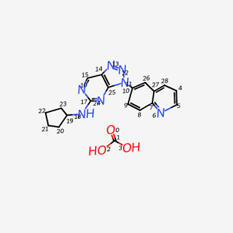 O=C(O)O.c1cnc2ccc(-n3nnc4cnc(NC5CCCC5)nc43)cc2c1